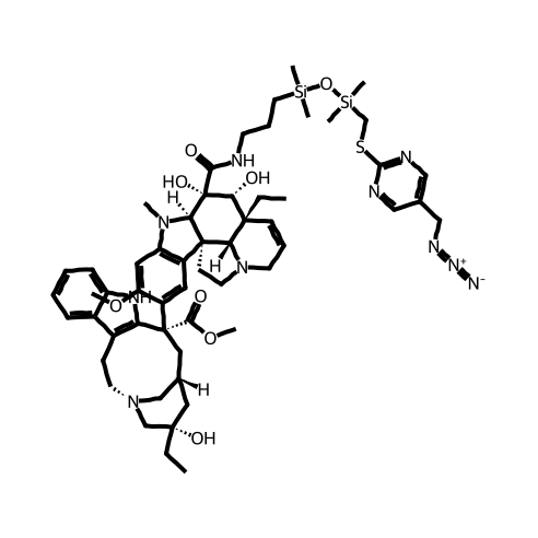 CC[C@]1(O)C[C@@H]2C[N@@](CCc3c([nH]c4ccccc34)[C@@](C(=O)OC)(c3cc4c(cc3OC)N(C)[C@H]3[C@@](O)(C(=O)NCCC[Si](C)(C)O[Si](C)(C)CSc5ncc(CN=[N+]=[N-])cn5)[C@H](O)[C@]5(CC)C=CCN6CC[C@]43[C@@H]65)C2)C1